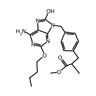 CCCCOc1nc(N)c2nc(O)n(Cc3ccc(CC(C)C(=O)OC)cc3)c2n1